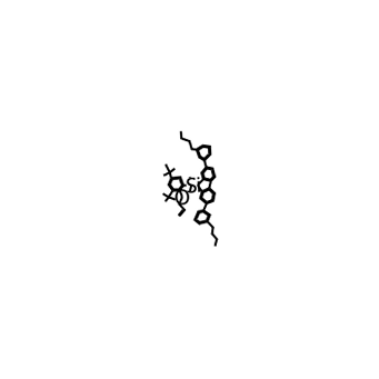 C=CCOc1c(C(C)(C)C)cc(C(C)(C)C)cc1[Si](C)(C)C1c2cc(-c3cccc(CCCC)c3)ccc2-c2ccc(-c3cccc(CCCC)c3)cc21